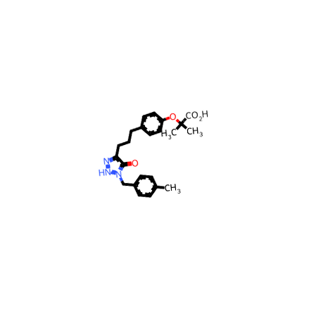 Cc1ccc(Cn2[nH]nc(CCCc3ccc(OC(C)(C)C(=O)O)cc3)c2=O)cc1